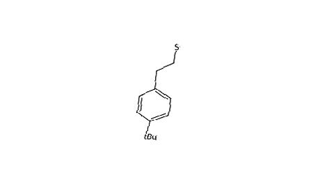 CC(C)(C)c1ccc(CC[S])cc1